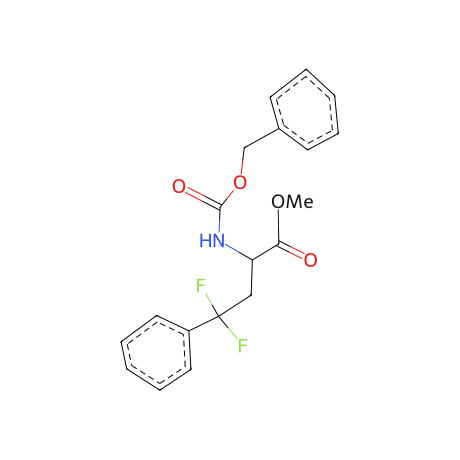 COC(=O)C(CC(F)(F)c1ccccc1)NC(=O)OCc1ccccc1